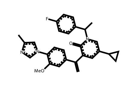 C=C(c1ccc(-n2cnc(C)c2)c(OC)c1)c1cc(C2CC2)cn(C(C)c2ccc(F)cc2)c1=O